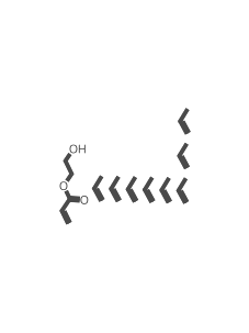 C=CC.C=CC.C=CC.C=CC.C=CC.C=CC.C=CC.C=CC.C=CC(=O)OCCO